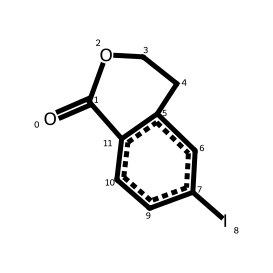 O=C1OCCc2cc(I)ccc21